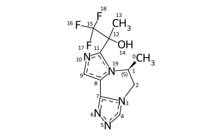 C[C@H]1Cn2cnnc2-c2cnc(C(C)(O)C(F)(F)F)n21